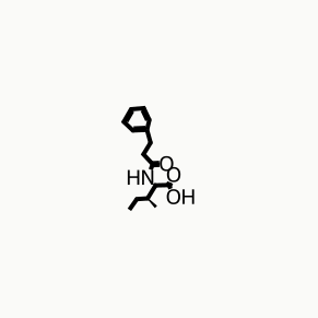 CC[C@H](C)[C@H](NC(=O)CCc1ccccc1)C(=O)O